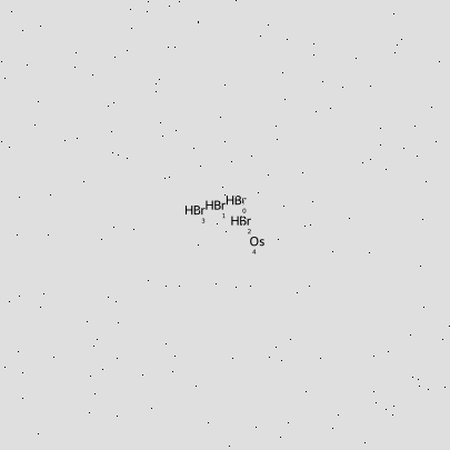 Br.Br.Br.Br.[Os]